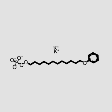 O=P([O-])([O-])OOCCCCCCCCCCCCOc1ccccc1.[K+].[K+]